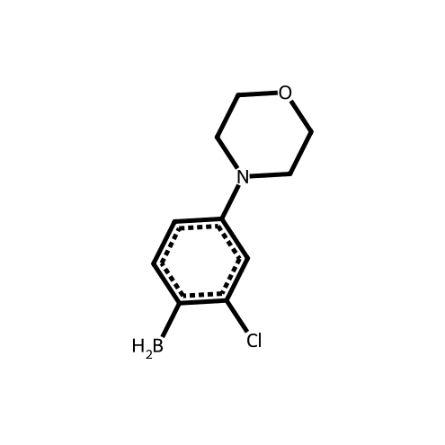 Bc1ccc(N2CCOCC2)cc1Cl